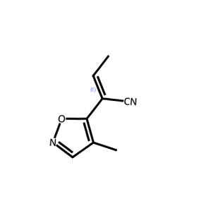 C/C=C(\C#N)c1oncc1C